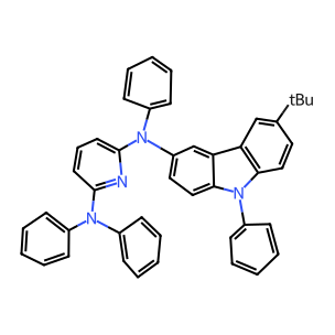 CC(C)(C)c1ccc2c(c1)c1cc(N(c3ccccc3)c3cccc(N(c4ccccc4)c4ccccc4)n3)ccc1n2-c1ccccc1